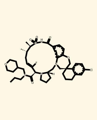 CCCN(CC1CCOCC1)C(=O)[C@H]1/C(F)=C/C[C@H](C)[C@@H](C)S(=O)(=O)NC(=O)c2ccc3c(c2)N(C[C@@H]2CCCN21)C[C@@]1(CCCc2cc(Cl)ccc21)CO3